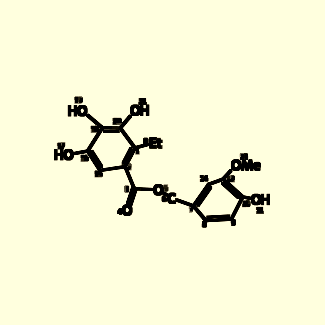 CCc1c(C(=O)OCc2ccc(O)c(OC)c2)cc(O)c(O)c1O